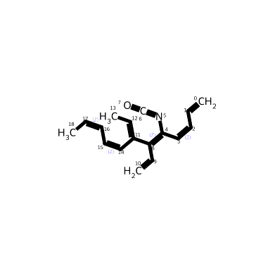 C=C/C=C\C(N=C=O)=C(/C=C)C(=CC)/C=C\C=C/C